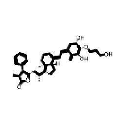 C=C1/C(=C\C=C2/CCC[C@]3(C)[C@@H]([C@H](C)C[C@@H]4OC(=O)C(=C)[C@H]4c4ccccc4)CC[C@@H]23)C[C@@H](O)[C@H](OCCCO)[C@@H]1O